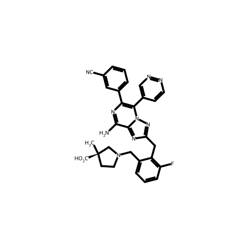 C[C@@]1(C(=O)O)CCN(Cc2cccc(F)c2Cc2nc3c(N)nc(-c4cccc(C#N)c4)c(-c4ccnnc4)n3n2)C1